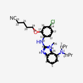 CCCN(CCC)c1cccc2nc(Nc3ccc(Cl)cc3OCCCCC#N)n(C)c12